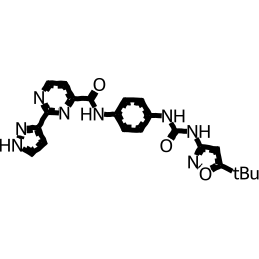 CC(C)(C)c1cc(NC(=O)Nc2ccc(NC(=O)c3ccnc(-c4cc[nH]n4)n3)cc2)no1